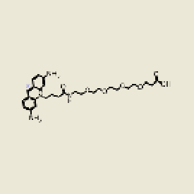 NC1=CC/C(=C\c2ccc(N)cc2NCCCC(=O)NCCOCCOCCOCCOCCC(=O)O)C=C1